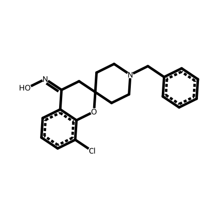 O/N=C1/CC2(CCN(Cc3ccccc3)CC2)Oc2c(Cl)cccc21